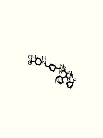 O=C(O)[C@H]1CC[C@H](NCC2=CCC(c3noc(-c4nnn(C5C=CC=CC5F)c4-c4ccncc4)n3)C=C2)CC1